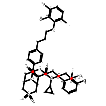 O=C(C1=C(c2ccc(CCCOc3c(F)ccc(F)c3Cl)cc2)CC2CS(=O)(=O)CC1N2C(=O)OCCCCO[N+](=O)[O-])N(Cc1cccc(Cl)c1Cl)C1CC1